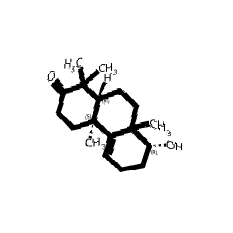 CC1(C)C(=O)CC[C@]2(C)C3=CCC[C@@H](O)C3(C)CC[C@@H]12